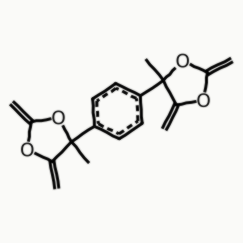 C=C1OC(=C)C(C)(c2ccc(C3(C)OC(=C)OC3=C)cc2)O1